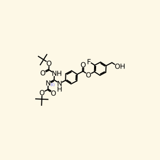 CC(C)(C)OC(=O)/N=C(/NC(=O)OC(C)(C)C)Nc1ccc(C(=O)Oc2ccc(CO)cc2F)cc1